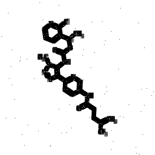 C=C(CCC(=O)Nc1ccc(-c2nnn(C)c2NC(=O)O[C@H](C)c2cccnc2Cl)nc1)C(F)(F)F